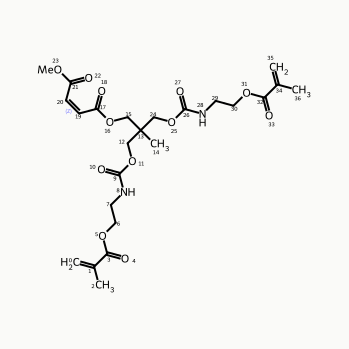 C=C(C)C(=O)OCCNC(=O)OCC(C)(COC(=O)/C=C\C(=O)OC)COC(=O)NCCOC(=O)C(=C)C